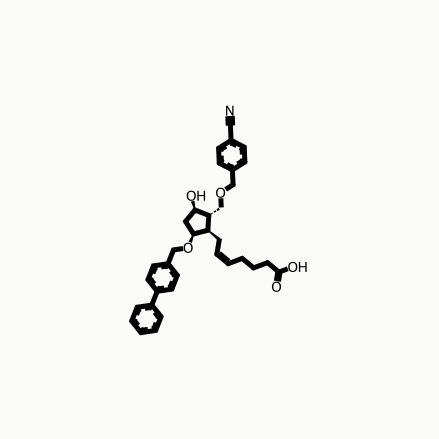 N#Cc1ccc(COC[C@@H]2[C@@H](C/C=C\CCCC(=O)O)[C@@H](OCc3ccc(-c4ccccc4)cc3)C[C@H]2O)cc1